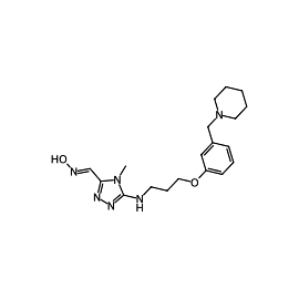 Cn1c(C=NO)nnc1NCCCOc1cccc(CN2CCCCC2)c1